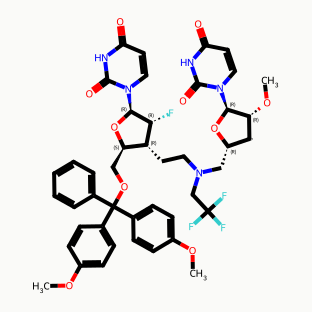 COc1ccc(C(OC[C@H]2O[C@@H](n3ccc(=O)[nH]c3=O)[C@H](F)[C@@H]2CCN(C[C@H]2[CH][C@@H](OC)[C@H](n3ccc(=O)[nH]c3=O)O2)CC(F)(F)F)(c2ccccc2)c2ccc(OC)cc2)cc1